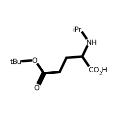 CC(C)NC(CCC(=O)OC(C)(C)C)C(=O)O